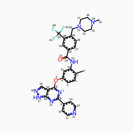 Cc1ccc(Oc2nc(-c3ccncc3)nc3[nH]ncc23)cc1NC(=O)c1ccc(CN2CCN(C)CC2)c(C(F)(F)F)c1